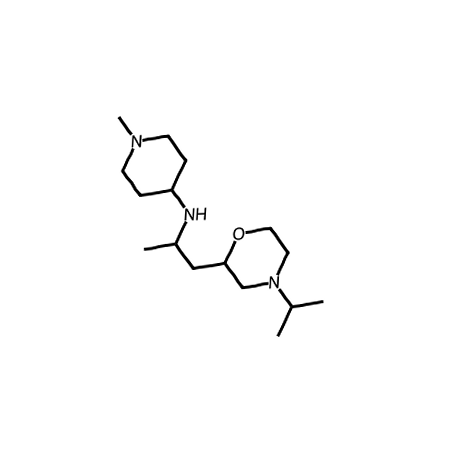 CC(CC1CN(C(C)C)CCO1)NC1CCN(C)CC1